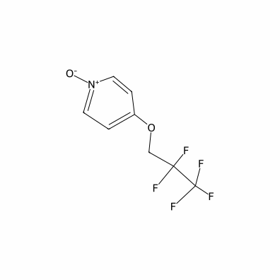 [O-][n+]1ccc(OCC(F)(F)C(F)(F)F)cc1